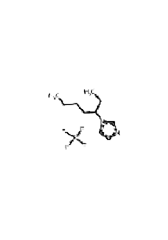 CCCCC(CC)n1ccnc1.F[B-](F)(F)F